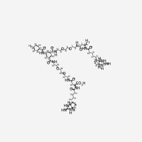 C[C@H](CC(=O)NCCOCCOCCNC(=O)c1cc(NC(=O)c2ccc(I)cc2)cc(C(=O)NCCOCCOCCNC(=O)C[C@H](NC(=O)CCCC[C@@H]2SC[C@@H]3NC(=N)N[C@@H]32)C(=O)O)c1)NC(=O)CCCC[C@@H]1SC[C@@H]2NC(=N)N[C@@H]21